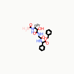 BC(=O)NC(CCC)C(O)C(=O)NCC(=O)N[C@H](C(=O)OCc1ccccc1)c1ccccc1